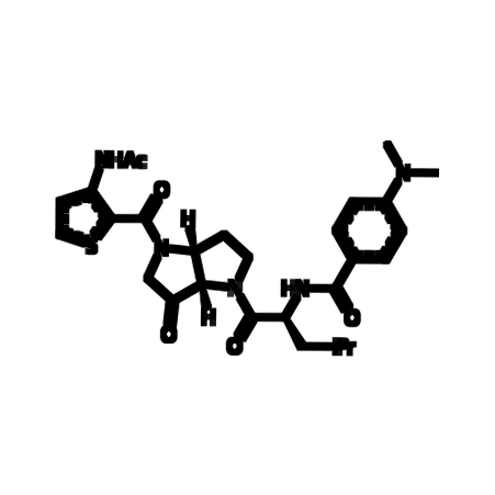 CC(=O)Nc1ccsc1C(=O)N1CC(=O)[C@@H]2[C@H]1CCN2C(=O)[C@H](CC(C)C)NC(=O)c1ccc(N(C)C)cc1